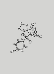 [N-]=[N+]=C(C1([SH](=O)=O)CCCC1)S(=O)(=O)c1ccc(F)cc1